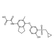 Cc1cc(NC(=O)C(=O)O)c2c(c1Oc1ccc(O)c(S(=O)(=O)CC3CC3)c1)CCC2